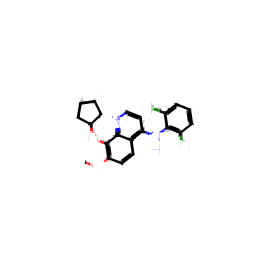 COc1ccc2c(Nc3c(Cl)cccc3Cl)ccnc2c1OC1CCCC1